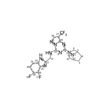 CN1C2CCC1CN(c1nc(NCc3nc4c(F)c(F)ccc4[nH]3)n3ncc(C(F)(F)F)c3n1)C2